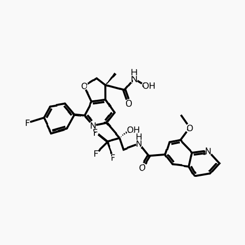 COc1cc(C(=O)NC[C@](O)(c2cc3c(c(-c4ccc(F)cc4)n2)OC[C@]3(C)C(=O)NO)C(F)(F)F)cc2cccnc12